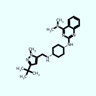 CN(C)c1nc(N[C@H]2CC[C@@H](NCc3cc(C(C)(C)C)nn3C)CC2)nc2ccccc12